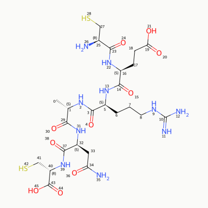 C[C@H](NC(=O)[C@H](CCCNC(=N)N)NC(=O)[C@H](CCC(=O)O)NC(=O)[C@@H](N)CS)C(=O)N[C@@H](CC(N)=O)C(=O)N[C@@H](CS)C(=O)O